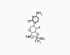 [2H]CC1OCC(n2ccc(N)nc2=O)C(F)C1O[Si](C)(C)C(C)(C)C